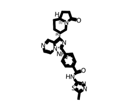 Cc1nnc(NC(=O)c2ccc(C3=NC([C@@H]4CC[C@H]5CCC(=O)N5C4)=C4C=NC=C[N+]34N)cc2)s1